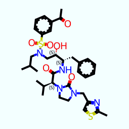 CC(=O)c1cccc(S(=O)(=O)N(CC(C)C)C[C@H](O)[C@H](Cc2ccccc2)NC(=O)[C@H](C(C)C)N2CCN(Cc3csc(C)n3)C2=O)c1